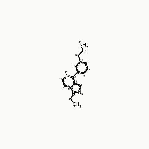 CCn1ncc2c(-c3cccc(CCN)c3)nccc21